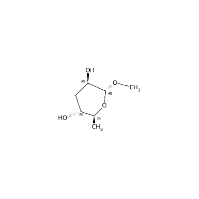 CO[C@@H]1O[C@@H](C)[C@H](O)C[C@H]1O